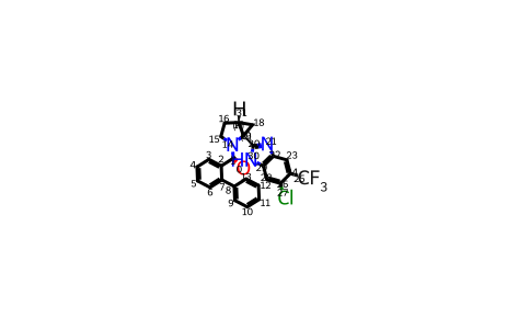 O=C(c1ccccc1-c1ccccc1)N1CC[C@@H]2C[C@@]21c1nc2cc(C(F)(F)F)c(Cl)cc2[nH]1